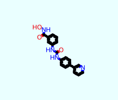 O=C(Nc1ccc(-c2cccnc2)cc1)Nc1cccc(C(=O)NO)c1